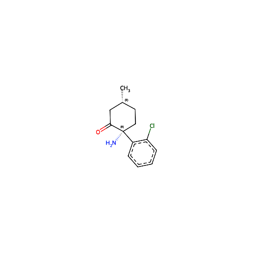 C[C@@H]1CC[C@@](N)(c2ccccc2Cl)C(=O)C1